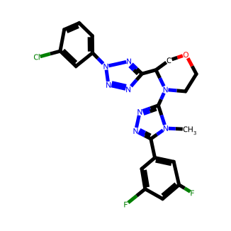 Cn1c(-c2cc(F)cc(F)c2)nnc1N1CCOCC1c1nnn(-c2cccc(Cl)c2)n1